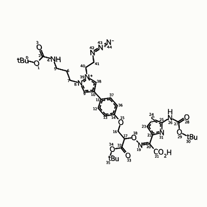 CC(C)(C)OC(=O)NCCCn1cc(-c2ccc(OCC(ON=C(C(=O)O)c3csc(NC(=O)OC(C)(C)C)n3)C(=O)OC(C)(C)C)cc2)c[n+]1CCN=[N+]=[N-]